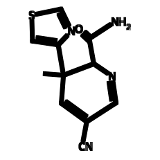 CC1(c2cscn2)C=C(C#N)C=NC1C(N)=O